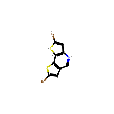 Brc1cc2cnc3cc(Br)sc3c2s1